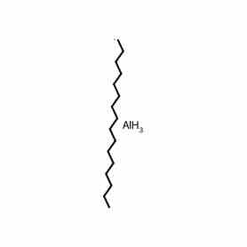 [AlH3].[CH2]CCCCCCCCCCCCCCC